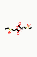 CC[S+]([O-])CC[C@@H]1OC(=O)[C@@H](CC[S+]([O-])CC)OC1=O